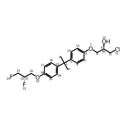 CC(C)(c1ccc(OC[C@@H](O)CCl)cc1)c1ccc(OC[C@H](F)CF)cc1